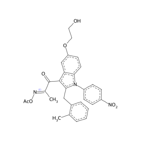 CC(=O)O/N=C(\C)C(=O)c1c(Cc2ccccc2C)n(-c2ccc([N+](=O)[O-])cc2)c2ccc(OCCO)cc12